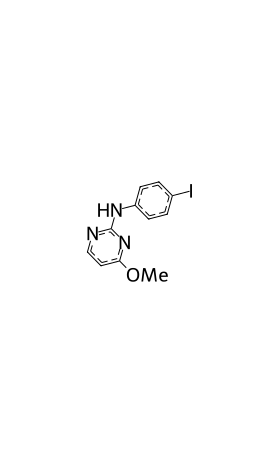 COc1ccnc(Nc2ccc(I)cc2)n1